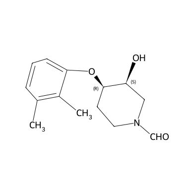 Cc1cccc(O[C@@H]2CCN(C=O)C[C@@H]2O)c1C